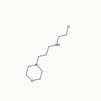 [O]CCNCCCN1CCOCC1